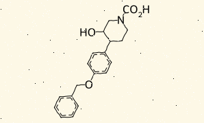 O=C(O)N1CCC(c2ccc(OCc3ccccc3)cc2)C(O)C1